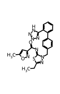 CCc1nn(Cc2ccc(-c3ccccc3-c3nnn[nH]3)cc2)c(=NC(=O)c2cc(C)on2)s1